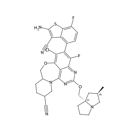 C[C@H]1CN2CCC[C@@]2(COc2nc3c4c(c(Cl)c(-c5ccc(F)c6sc(N)c(C#N)c56)c(F)c4n2)OCC2CCC(C#N)CN32)C1